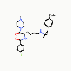 COc1ccc([C@@H]2CC2(C)NCCCC[C@H](NC(=O)c2ccc(F)cc2)C(=O)N2CCN(C)CC2)cc1